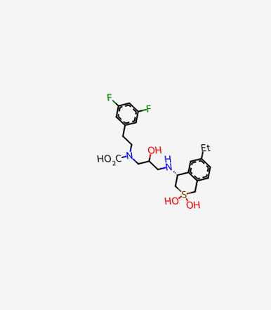 CCc1ccc2c(c1)[C@@H](NCC(O)CN(CCc1cc(F)cc(F)c1)C(=O)O)CS(O)(O)C2